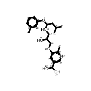 Cc1cccc(OC(CC(C)C)NCC(O)COc2cc(C(O)O)cnc2C)c1